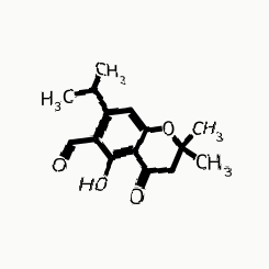 CC(C)c1cc2c(c(O)c1C=O)C(=O)CC(C)(C)O2